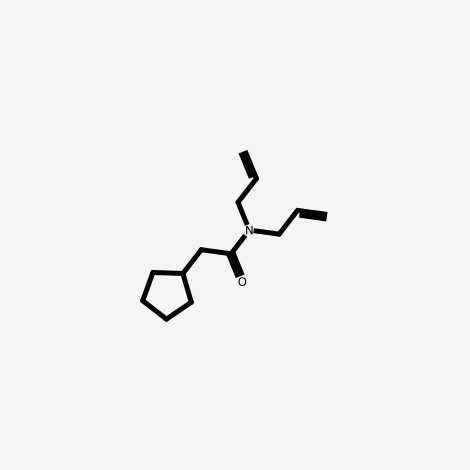 C=CCN(CC=C)C(=O)CC1CCCC1